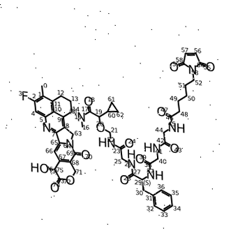 Cc1c(F)cc2nc3c(c4c2c1CC[C@@H]4N(C)C(=O)C(OCNC(=O)CNC(=O)[C@H](Cc1ccccc1)NC(=O)CNC(=O)CNC(=O)CCCCCN1C(=O)C=CC1=O)C1CC1)Cn1c-3cc2c(c1=O)COC(=O)[C@H]2O